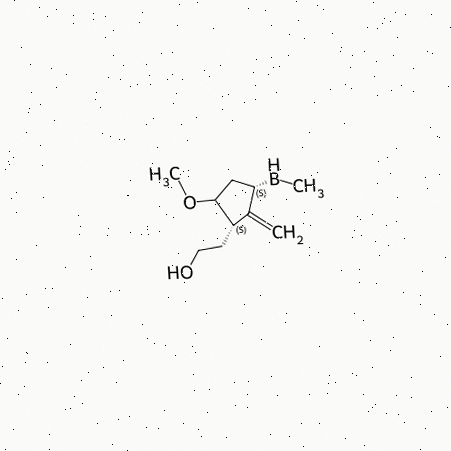 C=C1[C@@H](BC)CC(OC)[C@H]1CCO